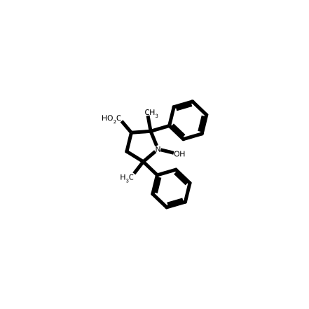 CC1(c2ccccc2)CC(C(=O)O)C(C)(c2ccccc2)N1O